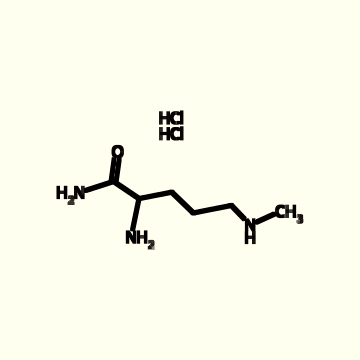 CNCCCC(N)C(N)=O.Cl.Cl